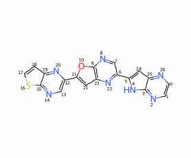 c1cnc2[nH]c(-c3cnc4oc(-c5cnc6sccc6n5)cc4n3)cc2n1